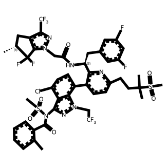 Cc1ccccc1C(=O)N(c1nn(CC(F)(F)F)c2c(-c3ccc(CCC(C)(C)S(C)(=O)=O)nc3[C@H](Cc3cc(F)cc(F)c3)NC(=O)Cn3nc(C(F)(F)F)c4c3C(F)(F)[C@H](C)C4)ccc(Cl)c12)S(C)(=O)=O